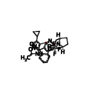 C=C1NC(c2ccc(N3[C@@H]4CC[C@H]3C[C@@H](OCc3c(-c5ccccc5OC(F)(F)F)noc3C3CC3)C4)nc2)=NO1